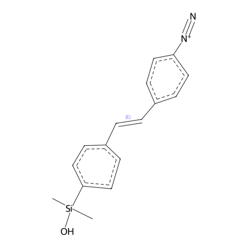 C[Si](C)(O)c1ccc(/C=C/c2ccc([N+]#N)cc2)cc1